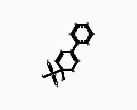 CC1(S(C)(=O)=O)C=CC(c2ccccc2)=CC1